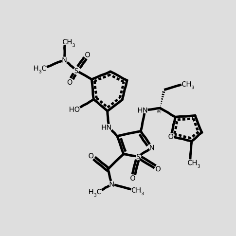 CC[C@@H](NC1=NS(=O)(=O)C(C(=O)N(C)C)=C1Nc1cccc(S(=O)(=O)N(C)C)c1O)c1ccc(C)o1